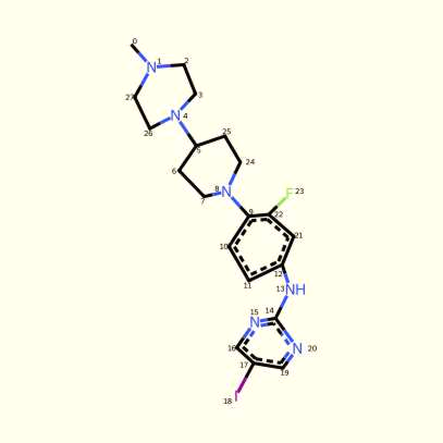 CN1CCN(C2CCN(c3ccc(Nc4ncc(I)cn4)cc3F)CC2)CC1